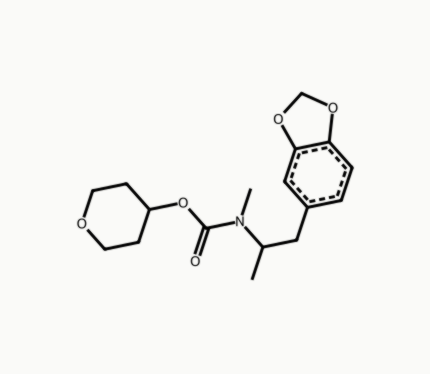 CC(Cc1ccc2c(c1)OCO2)N(C)C(=O)OC1CCOCC1